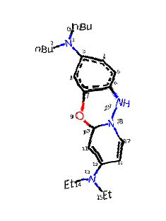 CCCCN(CCCC)c1ccc2c(c1)OC1C=C(N(CC)CC)C=CN1N2